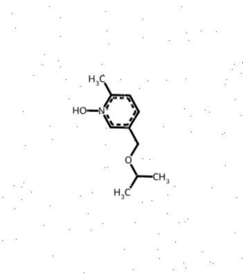 Cc1ccc(COC(C)C)c[n+]1O